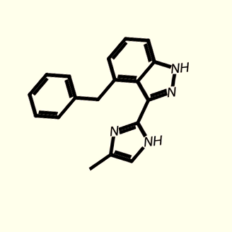 Cc1c[nH]c(-c2n[nH]c3cccc(Cc4ccccc4)c23)n1